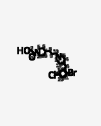 O=C(CO)N1CCC(CCCN2CCC(Cc3cc(Cl)ccc3Br)CC2)CC1